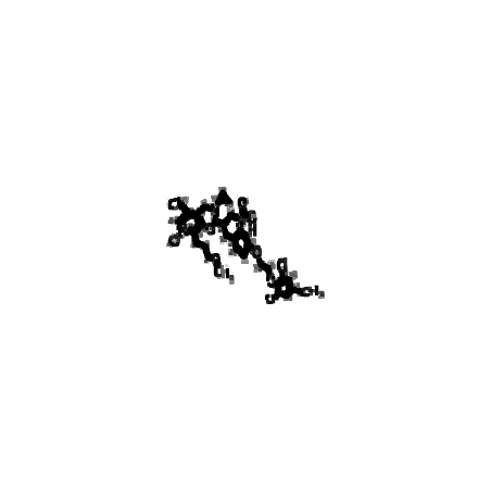 COCCCc1cc(CN(C(=O)C(CNC(=O)O)Cc2ccc(OCCOc3c(Cl)cc(C)cc3Cl)cc2)C2CC2)c(Cl)c[n+]1[O-]